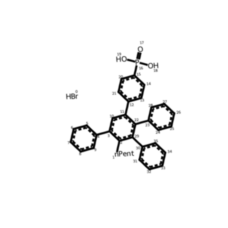 Br.CCCCCc1c(-c2ccccc2)cc(-c2ccc(P(=O)(O)O)cc2)c(-c2ccccc2)c1-c1ccccc1